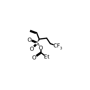 C=CC(CCC(F)(F)F)S(=O)(=O)OC(=O)CC